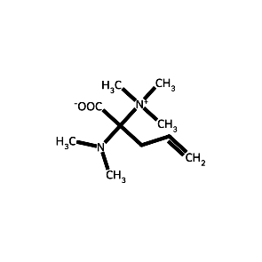 C=CCC(C(=O)[O-])(N(C)C)[N+](C)(C)C